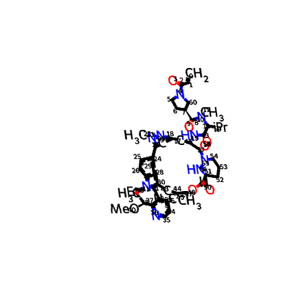 C=CC(=O)N1CC[C@H](C(=O)N(C)C(C(=O)N[C@H]2Cc3cc(n(C)n3)-c3ccc4c(c3)c(c(-c3cccnc3[C@H](C)OC)n4CC)CC(C)(C)COC(=O)[C@@H]3CCCN(N3)C2=O)C(C)C)C1